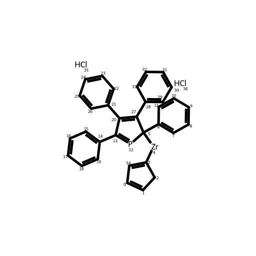 C1=CC[C]([Zr][C]2(c3ccccc3)P=C(c3ccccc3)C(c3ccccc3)=C2c2ccccc2)=C1.Cl.Cl